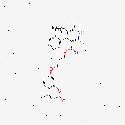 CCOC(=O)C1=C(C)NC(C)=C(C(=O)OCCCOc2ccc3c(C)cc(=O)oc3c2)C1c1ccccc1C(F)(F)F